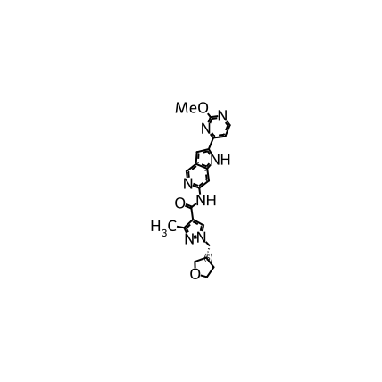 COc1nccc(-c2cc3cnc(NC(=O)c4cn(C[C@@H]5CCOC5)nc4C)cc3[nH]2)n1